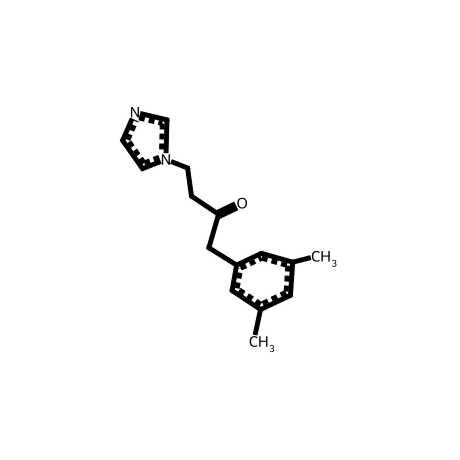 Cc1cc(C)cc(CC(=O)CCn2ccnc2)c1